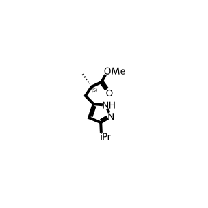 COC(=O)[C@@H](C)Cc1cc(C(C)C)n[nH]1